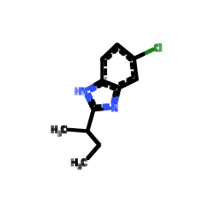 CCC(C)c1nc2cc(Cl)ccc2[nH]1